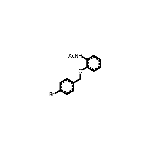 CC(=O)Nc1ccccc1OCc1ccc(Br)cc1